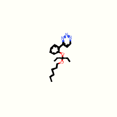 CCCCCCOC(CC)(CC)Oc1ccccc1-c1ccnnn1